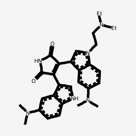 CCN(CC)CCn1cc(C2=C(c3c[nH]c4ccc(N(C)C)cc34)C(=O)NC2=O)c2cc(N(C)C)ccc21